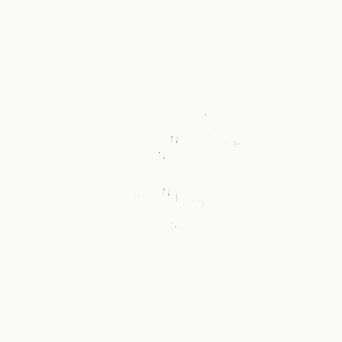 CN(c1cc(C(=O)O)nn1-c1ccccc1)[SH](=O)=O